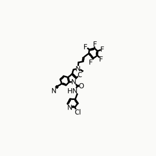 N#Cc1ccc2c3c(n(C(=O)NCc4ccnc(Cl)c4)c2c1)CCN(C/C=C/c1c(F)c(F)c(F)c(F)c1F)C3